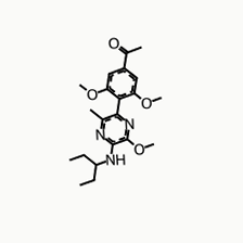 CCC(CC)Nc1nc(C)c(-c2c(OC)cc(C(C)=O)cc2OC)nc1OC